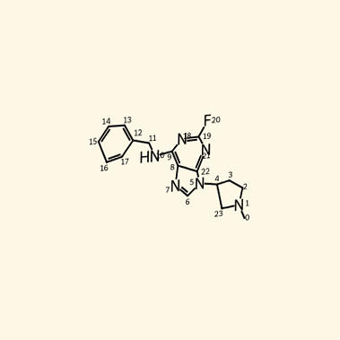 CN1CCC(n2cnc3c(NCc4ccccc4)nc(F)nc32)C1